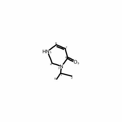 CC(C)N1CNC=CC1=O